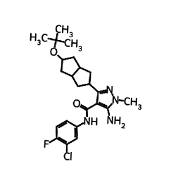 Cn1nc(C2CC3CC(OC(C)(C)C)CC3C2)c(C(=O)Nc2ccc(F)c(Cl)c2)c1N